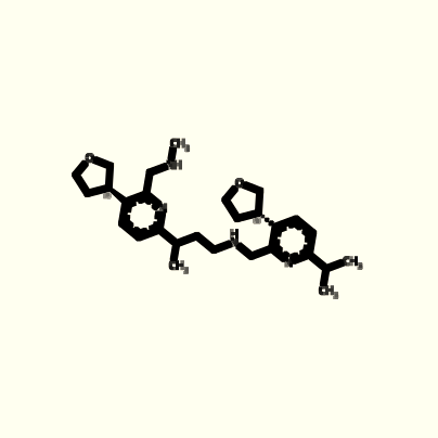 CNCc1nc(C(C)CCNCc2nc(C(C)C)ccc2[C@@H]2CCOC2)ccc1[C@H]1CCOC1